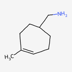 CC1=CCCC(CN)CC1